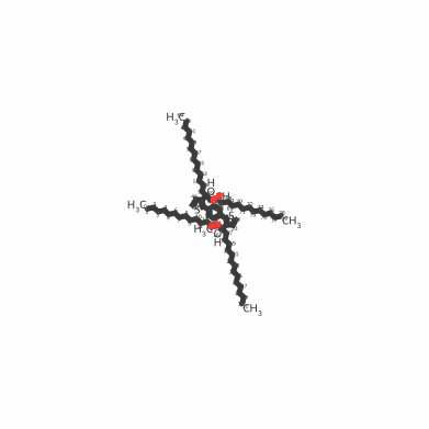 CCCCCCCCCCCCCCCC(O)(CCCCCCCCCCCCCCC)c1ccsc1-c1cc(OC)c(-c2sccc2C(O)(CCCCCCCCCCCCCCC)CCCCCCCCCCCCCCC)cc1OC